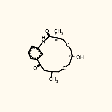 CC1CCC[C@@H](O)CCC[C@@H](C)C(=O)Nc2cccc(c2)C(=O)C1